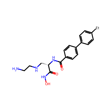 CCc1ccc(-c2ccc(C(=O)N[C@@H](CNCCN)C(=O)NO)cc2)cc1